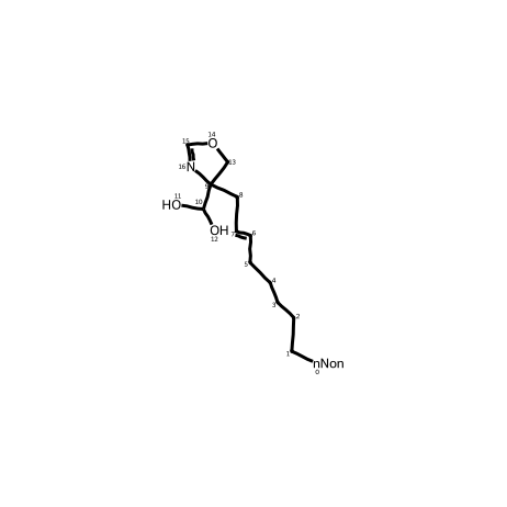 CCCCCCCCCCCCCCC=CCC1(C(O)O)COC=N1